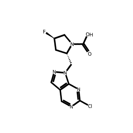 O=C(O)N1C[C@H](F)C[C@H]1Cn1ncc2cnc(Cl)nc21